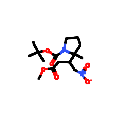 COC(=O)CC(C[N+](=O)[O-])C1(C)CCCN1C(=O)OC(C)(C)C